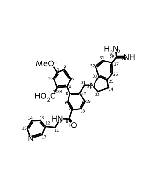 COc1ccc(-c2cc(C(=O)NCc3cccnc3)ccc2CN2CCc3cc(C(=N)N)ccc32)c(C(=O)O)c1